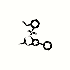 O=C(O)Oc1sc(-c2ccccc2)cc1NS(=O)(=O)c1ccccc1CCl